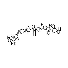 CCc1cc2ncc(CN3CCN(c4ccc(C(=O)NC5CCN(c6cc7c(cc6F)C(=O)N(C6CCC(=O)NC6=O)C7=O)CC5)nc4)CC3)cc2[nH]c1=O